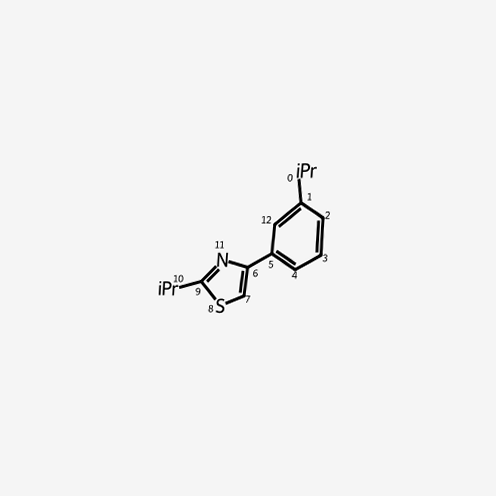 CC(C)c1cccc(-c2csc(C(C)C)n2)c1